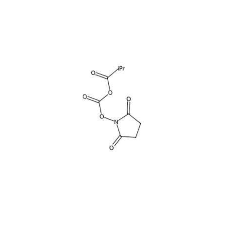 CC(C)C(=O)OC(=O)ON1C(=O)CCC1=O